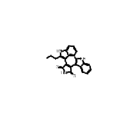 CCCc1[nH]c2ccccc2c1C1=C(c2c(C)[nH]c3ccccc23)C(=O)NC1=O